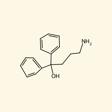 NCCCC(O)(c1ccccc1)c1ccccc1